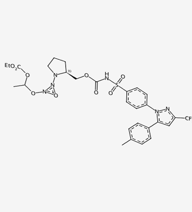 CCOC(=O)OC(C)On1on1N1CCC[C@H]1COC(=O)NS(=O)(=O)c1ccc(-n2nc(C(F)(F)F)cc2-c2ccc(C)cc2)cc1